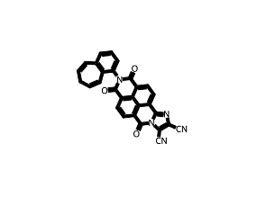 N#Cc1nc2c3ccc4c5c(ccc(c(=O)n2c1C#N)c53)C(=O)N(c1cccc2c1C=CCC=C2)C4=O